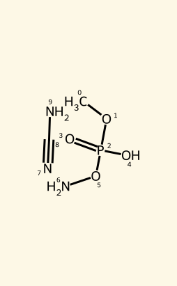 COP(=O)(O)ON.N#CN